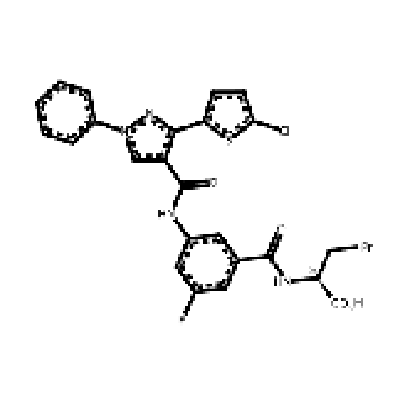 CC(C)C[C@H](NC(=O)c1cc(F)cc(NC(=O)c2cn(-c3ccccc3)nc2-c2ccc(Cl)s2)c1)C(=O)O